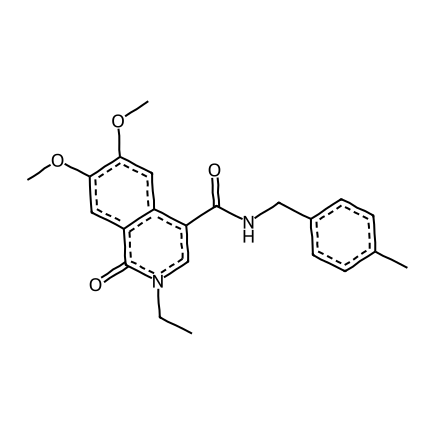 CCn1cc(C(=O)NCc2ccc(C)cc2)c2cc(OC)c(OC)cc2c1=O